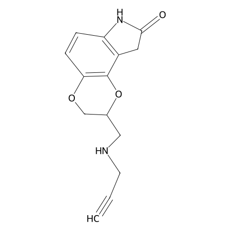 C#CCNCC1COc2ccc3c(c2O1)CC(=O)N3